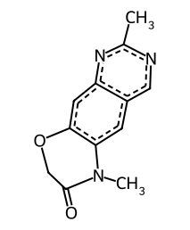 Cc1ncc2cc3c(cc2n1)OCC(=O)N3C